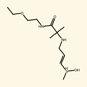 CCOCCNC(=O)C(C)(C)NC/C=C/[SiH](C)O